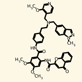 COc1cnccc1CN(CCc1ccc(NC(=O)c2cc(OC)c(OC)cc2NC(=O)c2cc(=O)c3ccccc3o2)cc1)Cc1ccc2c(cnn2C)c1